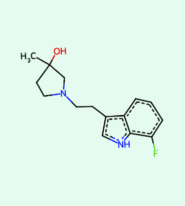 CC1(O)CCN(CCc2c[nH]c3c(F)cccc23)C1